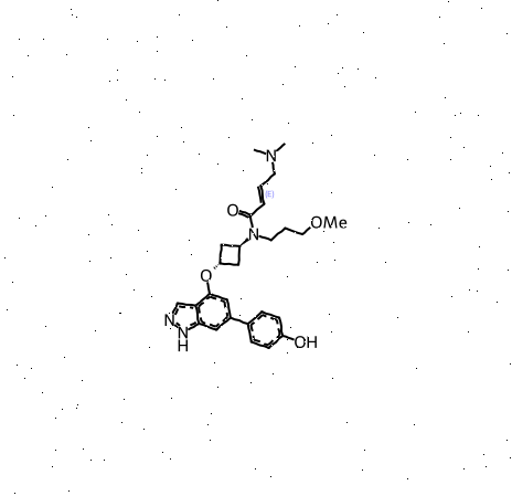 COCCCN(C(=O)/C=C/CN(C)C)[C@H]1C[C@H](Oc2cc(-c3ccc(O)cc3)cc3[nH]ncc23)C1